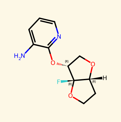 Nc1cccnc1O[C@@H]1CO[C@@H]2CCO[C@@]21F